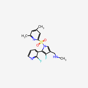 CNCc1cn(S(=O)(=O)c2cc(C)cc(C)n2)c(-c2cccnc2F)c1F